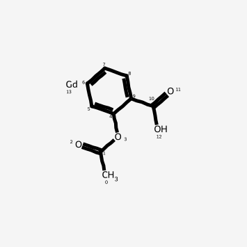 CC(=O)Oc1ccccc1C(=O)O.[Gd]